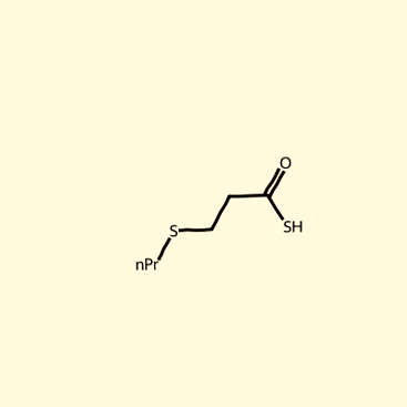 CCCSCCC(=O)S